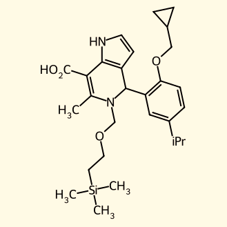 CC1=C(C(=O)O)c2[nH]ccc2C(c2cc(C(C)C)ccc2OCC2CC2)N1COCC[Si](C)(C)C